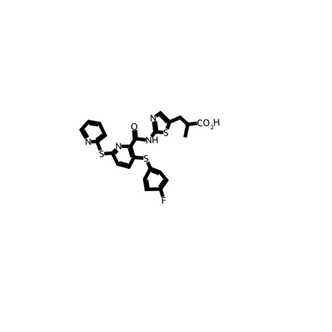 CC(Cc1cnc(NC(=O)c2nc(Sc3ccccn3)ccc2Sc2ccc(F)cc2)s1)C(=O)O